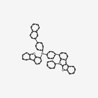 c1ccc(-n2c3oc4ccccc4c3c3cccc(-c4ccc(N(c5ccc(-c6ccc7ccccc7c6)cc5)c5cccc6c5oc5ccccc56)cc4)c32)cc1